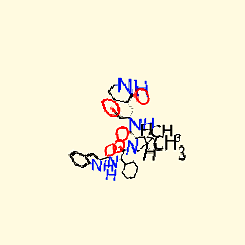 CC1(C)[C@@H]2[C@@H](C(=O)N[C@H](C=O)C[C@@H]3CCCNC3=O)N(C(=O)[C@@H](NC(=O)c3cc4ccccc4[nH]3)C3CCCCC3)C[C@@H]21